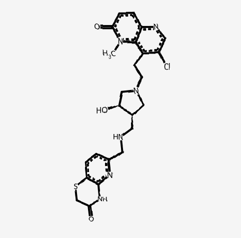 Cn1c(=O)ccc2ncc(Cl)c(CCN3C[C@@H](CNCc4ccc5c(n4)NC(=O)CS5)[C@@H](O)C3)c21